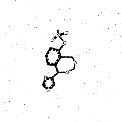 CS(=O)(=O)Oc1cccc2c1COCOC2c1cscn1